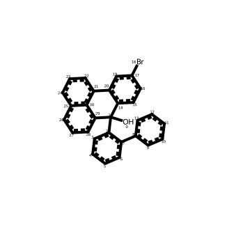 OC1(c2ccccc2-c2ccccc2)c2ccc(Br)cc2-c2cccc3cccc1c23